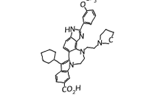 O=C(O)c1ccc2c(C3CCCCC3)c3n(c2c1)CCN(CCN1CCCCC1)c1c-3ccc2[nH]c(-c3cccc(OC(F)(F)F)c3)nc12